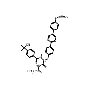 CCCCCCCOc1ccc(-c2cnc(-c3ccc(C[C@H](NC(=O)c4ccc(C(C)(C)C#N)cc4)C(=O)N[C@H](C)C(=O)O)cc3)nc2)cc1